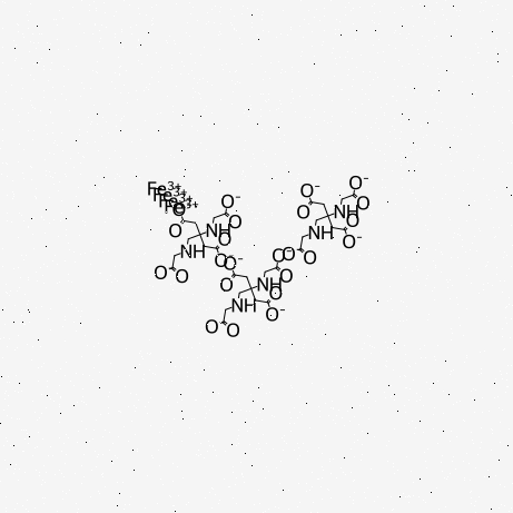 O=C([O-])CNCC(CC(=O)[O-])(CC(=O)[O-])NCC(=O)[O-].O=C([O-])CNCC(CC(=O)[O-])(CC(=O)[O-])NCC(=O)[O-].O=C([O-])CNCC(CC(=O)[O-])(CC(=O)[O-])NCC(=O)[O-].[Fe+3].[Fe+3].[Fe+3].[Fe+3]